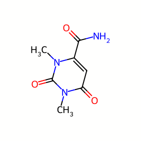 Cn1c(C(N)=O)cc(=O)n(C)c1=O